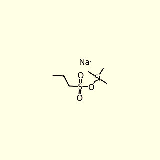 CCCS(=O)(=O)O[Si](C)(C)C.[Na]